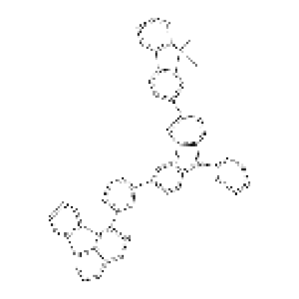 CC1(C)c2ccccc2-c2ccc(-c3ccc4c(c3)c3cc(-c5cccc(-c6ncc7cccc8c7c6-c6ccccc6-8)c5)ccc3n4-c3ccccc3)cc21